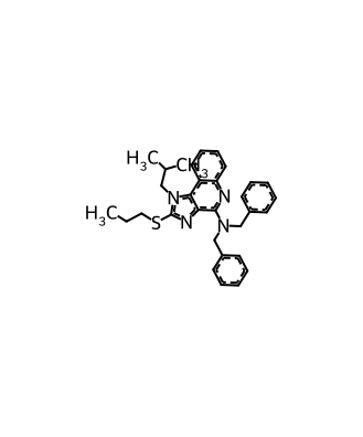 CCCSc1nc2c(N(Cc3ccccc3)Cc3ccccc3)nc3ccccc3c2n1CC(C)C